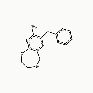 Nc1nc2c(nc1Cc1ccccc1)CNCCO2